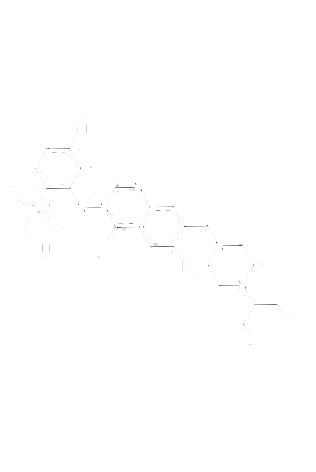 CCC(CC)N1CCN(Cc2cc3ncn(Nc4cc(Cl)ccc4S(=O)(=O)CC)c(=O)c3cc2Br)CC1